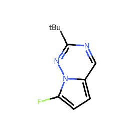 CC(C)(C)c1ncc2ccc(F)n2n1